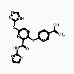 C=C(O)c1ccc(Sc2ccc(Sc3nnc[nH]3)nc2C(=O)Nc2nccs2)cc1